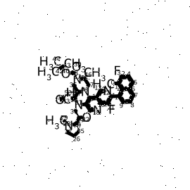 Cc1c(F)ccc2cccc(-c3ncc4c5c6c(nc4c3F)O[C@@H]([C@@H]3CCCN3C)CN6C(=C=O)[C@H]3CN(C(=O)OC(C)(C)C)[C@H](C)CN53)c12